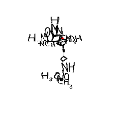 Cc1n[nH]c2c1C(c1cc(C#C[C@H]3C[C@@H](NCC(=O)N(C)C)C3)cc(CO)c1)(C(C)C)C(C#N)=C(N)O2